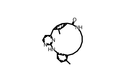 Cc1ccc2cc1CCCCCCNC(=O)c1ccc(c(C)c1)-c1ccnc(n1)N2